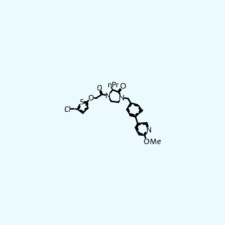 CCC[C@H]1C(=O)N(Cc2ccc(-c3ccc(OC)nc3)cc2)CCN1C(=O)COc1ccc(Cl)s1